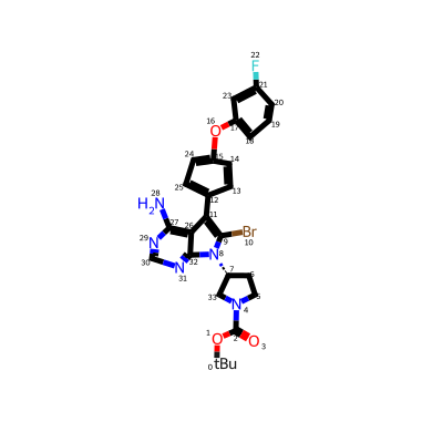 CC(C)(C)OC(=O)N1CC[C@@H](n2c(Br)c(-c3ccc(Oc4cccc(F)c4)cc3)c3c(N)ncnc32)C1